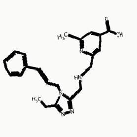 CCc1nnc(CNCc2cc(C(=O)O)cc(C)n2)n1CC=Cc1ccccc1